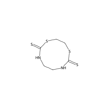 S=C1NCCNC(=S)SCCS1